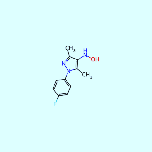 Cc1nn(-c2ccc(F)cc2)c(C)c1NO